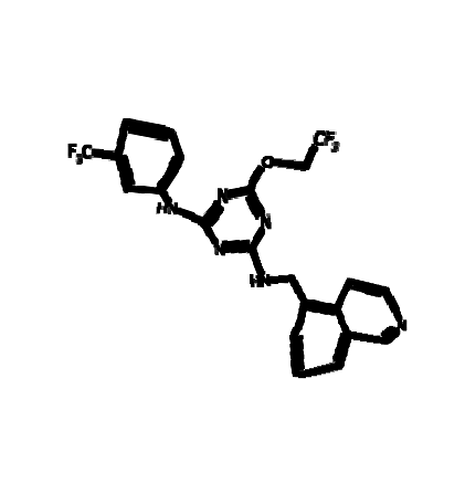 FC(F)(F)COc1nc(NCc2cccc3cnccc23)nc(Nc2cccc(C(F)(F)F)c2)n1